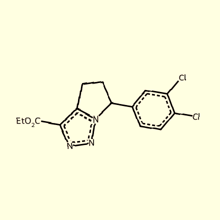 CCOC(=O)c1nnn2c1CCC2c1ccc(Cl)c(Cl)c1